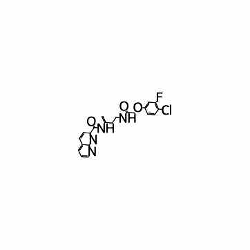 C=C(CCNC(=O)COc1ccc(Cl)c(F)c1)NC(=O)c1ccc2cccnc2n1